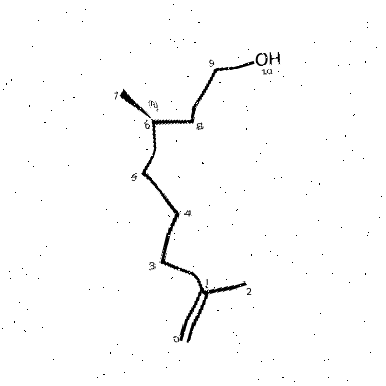 C=C(C)CCC[C@@H](C)CCO